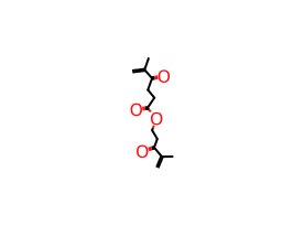 C=C(C)C(=O)CCOC(=O)CCC(=O)C(=C)C